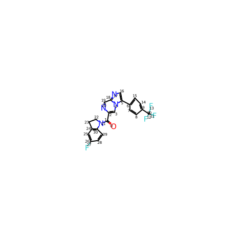 O=C(c1cn2c(-c3ccc(C(F)(F)F)cc3)cnc2cn1)N1CCc2cc(F)ccc21